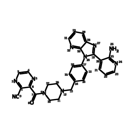 N#Cc1nccnc1C(=O)N1CCN(Cc2ccc(-n3c(-c4cccnc4N)nc4cccnc43)cc2)CC1